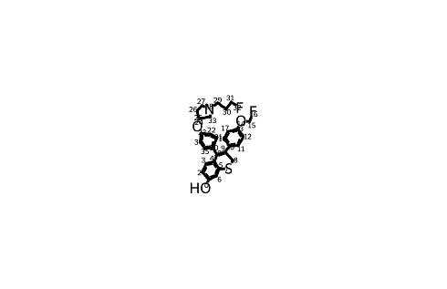 Oc1ccc2c(c1)SCC(c1ccc(OCF)cc1)=C2c1ccc(O[C@H]2CCN(CCCF)C2)cc1